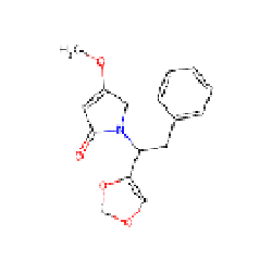 COC1=CC(=O)N(C(Cc2ccccc2)C2=COCO2)C1